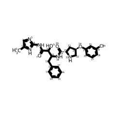 Cc1cnc(NC(=O)C(O)C(Cc2ccccc2)NC(=O)[C@@H]2C[C@@H](Oc3cccc(Cl)c3)CN2)[nH]1